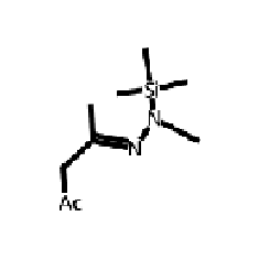 CC(=O)CC(C)=NN(C)[Si](C)(C)C